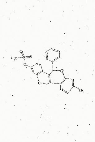 Cc1ccc2c(c1)OC(c1ccccc1)C1=C2COc2cc(OS(=O)(=O)C(F)(F)F)ccc21